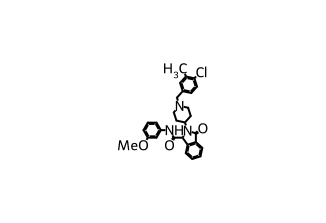 COc1cccc(NC(=O)C2c3ccccc3C(=O)N2C2CCN(Cc3ccc(Cl)c(C)c3)CC2)c1